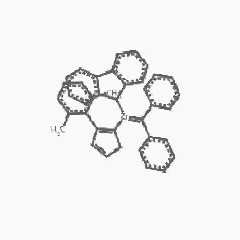 Cc1cccc(C)c1C1=[C]([Zr](=[C](c2ccccc2)c2ccccc2)[CH]2c3ccccc3-c3ccccc32)CC=C1